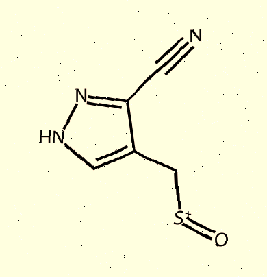 N#Cc1n[nH]cc1C[S+]=O